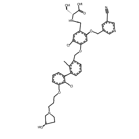 Cc1c(COc2cc(OCc3cncc(C#N)c3)c(CN[C@H](CO)C(=O)O)cc2Cl)cccc1-c1cccc(OCCCN2CC[C@@H](O)C2)c1Cl